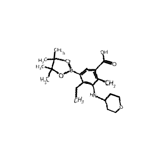 CCc1c(B2OC(C)(C)C(C)(C)O2)cc(C(=O)O)c(C)c1NC1CCOCC1